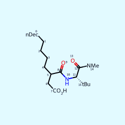 CCCCCCCCCCCCCCC(CC(=O)O)C(=O)N[C@H](C(=O)NC)C(C)(C)C